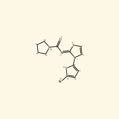 O=C(N=c1sccn1-c1ccc(Br)s1)N1CCCC1